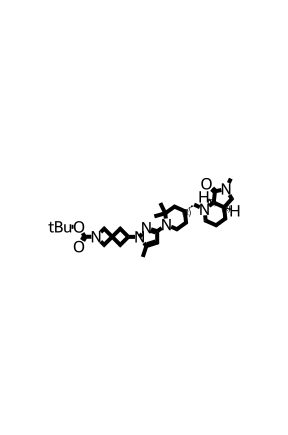 Cc1cc(N2CC[C@@H](CN3CCC[C@@H]4CN(C)C(=O)[C@@H]43)CC2(C)C)nn1C1CC2(C1)CN(C(=O)OC(C)(C)C)C2